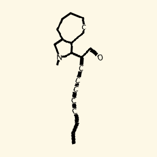 C=C=C=C=C=C=C=C=C(C=O)C1C2CCCCCCC2CN1C